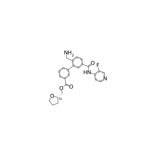 NCc1ccc(C(=O)Nc2ccncc2F)cc1-c1cccc(C(=O)OC[C@@H]2CCCO2)c1